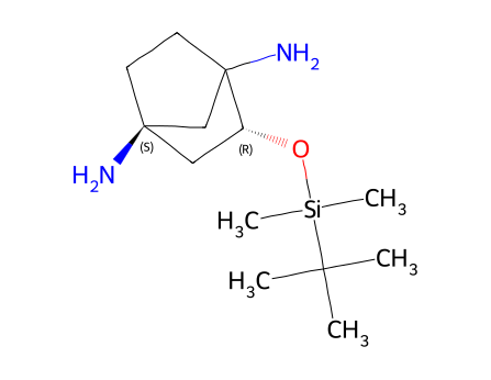 CC(C)(C)[Si](C)(C)O[C@@H]1C[C@]2(N)CCC1(N)C2